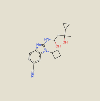 CC(O)(CC(O)Nc1nc2ccc(C#N)cc2n1C1CCC1)C1CC1